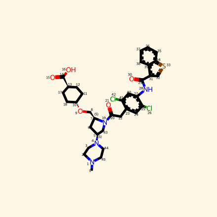 CN1CCN([C@H]2C[C@@H](CO[C@H]3CC[C@H](C(=O)O)CC3)N(C(=O)Cc3cc(Cl)c(NC(=O)c4csc5ccccc45)cc3Cl)C2)CC1